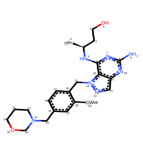 CCC[C@@H](CCO)Nc1nc(N)nc2cnn(Cc3ccc(CN4CCCOC4)cc3OC)c12